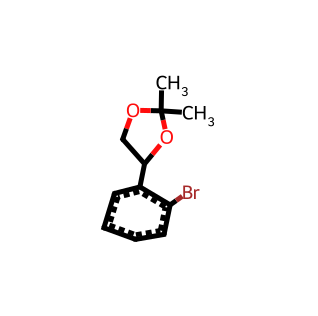 CC1(C)OCC(c2ccccc2Br)O1